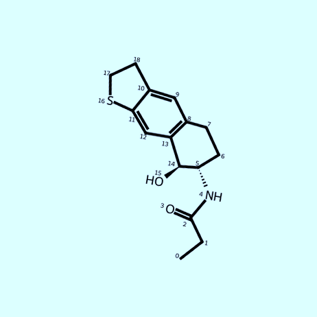 CCC(=O)N[C@H]1CCc2cc3c(cc2[C@@H]1O)SCC3